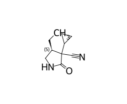 CC[C@@H]1CNC(=O)C1(C#N)C1CC1